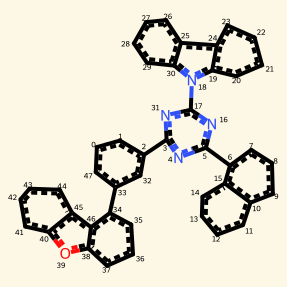 c1cc(-c2nc(-c3cccc4ccccc34)nc(-n3c4ccccc4c4ccccc43)n2)cc(-c2cccc3oc4ccccc4c23)c1